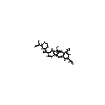 CC(=O)N1CCC[C@@H](Nc2ncc3nc(Nc4c(Cl)cc(C#N)cc4Cl)n(C)c3n2)C1